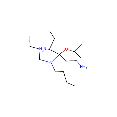 CCCCN(CCCC)C(CCN)(OC(C)C)C(N)CC